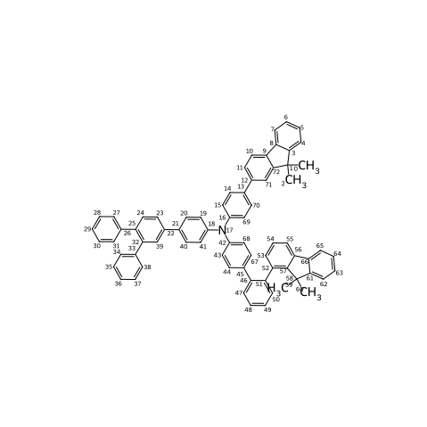 CC1(C)c2ccccc2-c2ccc(-c3ccc(N(c4ccc(-c5ccc(-c6ccccc6)c(-c6ccccc6)c5)cc4)c4ccc(-c5ccccc5-c5cccc6c5C(C)(C)c5ccccc5-6)cc4)cc3)cc21